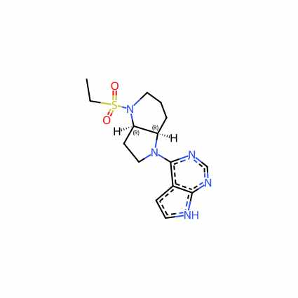 CCS(=O)(=O)N1CCC[C@@H]2[C@H]1CCN2c1ncnc2[nH]ccc12